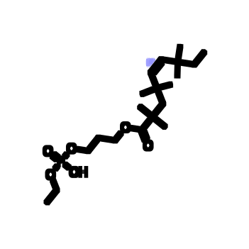 CCOP(=O)(O)OCCCOC(=O)C(C)(C)CC(C)(C)/C=C\C(C)(C)CC